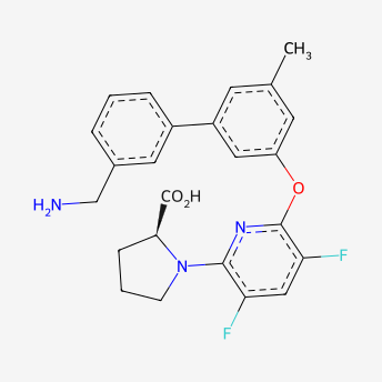 Cc1cc(Oc2nc(N3CCC[C@H]3C(=O)O)c(F)cc2F)cc(-c2cccc(CN)c2)c1